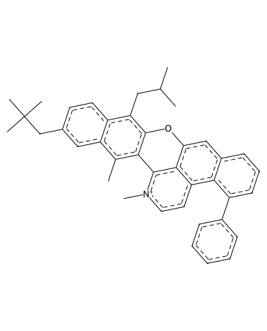 Cc1c2c(c(CC(C)C)c3ccc(CC(C)(C)C)cc13)Oc1cc3cccc(-c4ccccc4)c3c3cc[n+](C)c-2c13